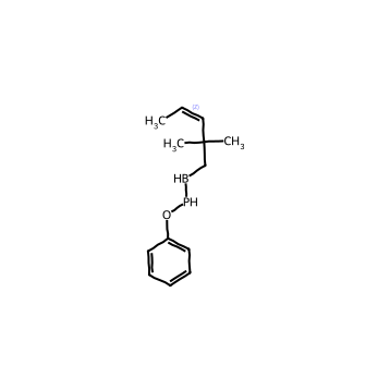 C/C=C\C(C)(C)CBPOc1ccccc1